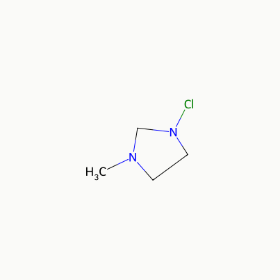 CN1CCN(Cl)C1